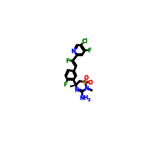 CN1C(N)=N[C@](C)(c2cc(/C=C(\F)c3cc(F)c(Cl)cn3)ccc2F)CS1(=O)=O